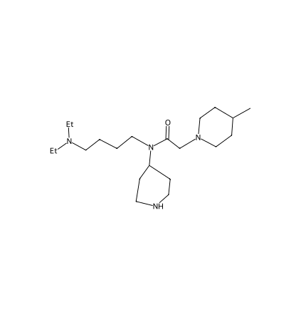 CCN(CC)CCCCN(C(=O)CN1CCC(C)CC1)C1CCNCC1